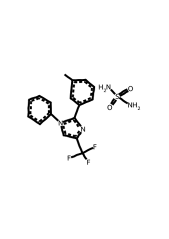 Cc1cccc(-c2nc(C(F)(F)F)cn2-c2ccccc2)c1.NS(N)(=O)=O